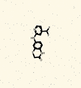 O=C1CSc2cc(Nc3cc(C(F)F)ccn3)ccc2N1